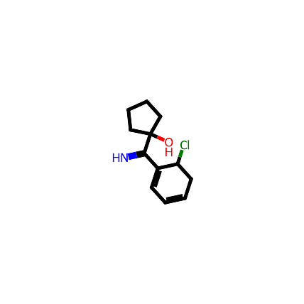 N=C(C1=CC=CCC1Cl)C1(O)CCCC1